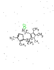 [CH2]=[Zr+2]([C]1=C(C)C(C)=CC1)[C]1=C(C)C(C)=C(C)C1C.[Cl-].[Cl-]